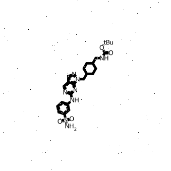 CC(C)(C)OC(=O)NCC1CCC(Cn2ncc3cnc(Nc4cccc(S(N)(=O)=O)c4)nc32)CC1